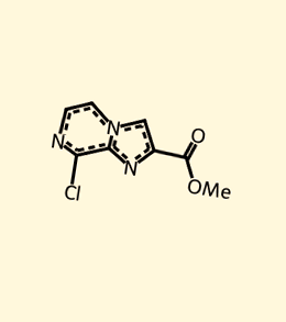 COC(=O)c1cn2ccnc(Cl)c2n1